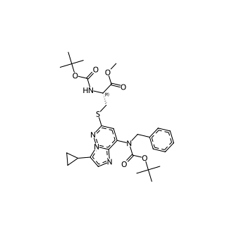 COC(=O)[C@H](CSc1cc(N(Cc2ccccc2)C(=O)OC(C)(C)C)c2ncc(C3CC3)n2n1)NC(=O)OC(C)(C)C